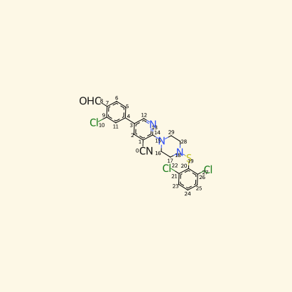 N#Cc1cc(-c2ccc(C=O)c(Cl)c2)cnc1N1CCN(Sc2c(Cl)cccc2Cl)CC1